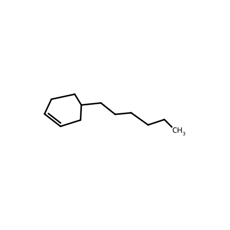 CCCCCCC1CC=CCC1